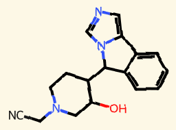 N#CCN1CCC(C2c3ccccc3-c3cncn32)C(O)C1